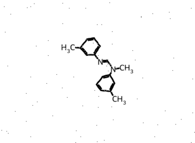 Cc1cccc(/N=C/N(C)c2cccc(C)c2)c1